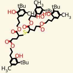 Cc1cc(CCCOC(=O)CCC(CSCC(CCC(=O)OCCCc2cc(C)cc(C(C)(C)C)c2O)C(=O)OCCCc2cc(C)cc(C(C)(C)C)c2O)C(=O)OCCCc2cc(C)cc(C(C)(C)C)c2O)c(O)c(C(C)(C)C)c1